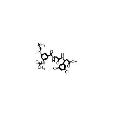 CC(=O)Nc1cc(NC=NN)cc(C(=O)NCC(=O)NC(CC(=O)O)c2cc(Cl)cc(Cl)c2)c1